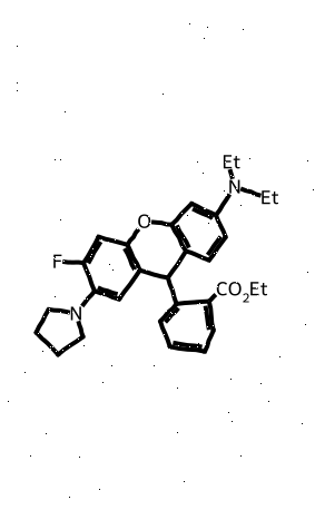 CCOC(=O)c1ccccc1C1c2ccc(N(CC)CC)cc2Oc2cc(F)c(N3CCCC3)cc21